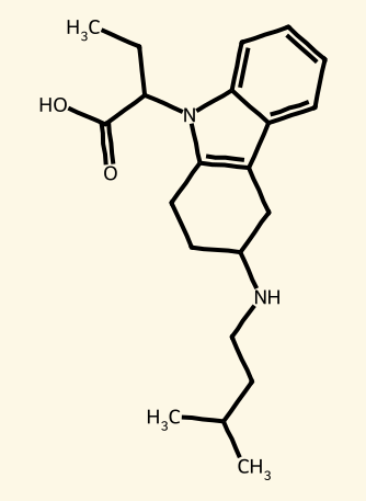 CCC(C(=O)O)n1c2c(c3ccccc31)CC(NCCC(C)C)CC2